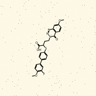 COc1ccc2c(=O)n(CCC(Sc3ccc(-c4ccc(OC)c(F)c4)cc3)C(=O)O)nnc2c1